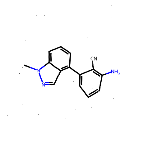 Cn1ncc2c(-c3cccc(N)c3C#N)cccc21